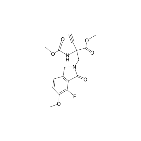 C#CC(CN1Cc2ccc(OC)c(F)c2C1=O)(NC(=O)OC)C(=O)OC